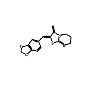 C=C1/C(=C/c2ccc3c(c2)OCO3)SC2=NCCCN12